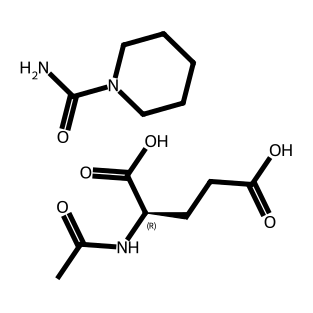 CC(=O)N[C@H](CCC(=O)O)C(=O)O.NC(=O)N1CCCCC1